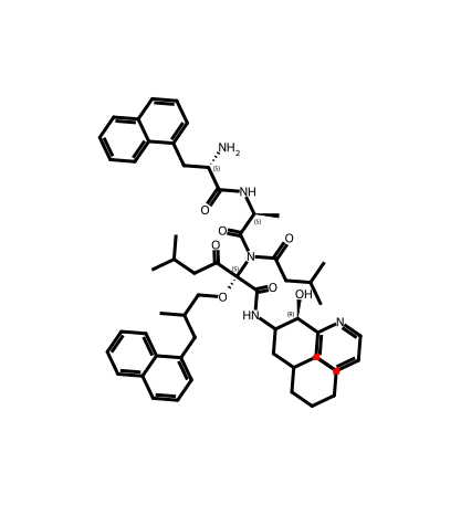 CC(C)CC(=O)N(C(=O)[C@H](C)NC(=O)[C@@H](N)Cc1cccc2ccccc12)[C@](OCC(C)Cc1cccc2ccccc12)(C(=O)CC(C)C)C(=O)NC(CC1CCCCC1)[C@@H](O)c1ccccn1